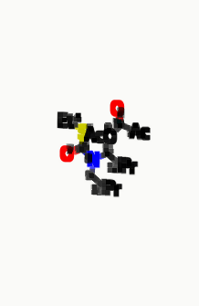 CC(=O)OC(=O)C(C)=O.CCSC(=O)N(CC(C)C)CC(C)C